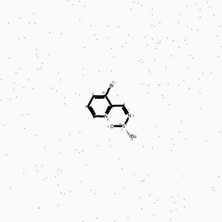 CC(C)(C)[S@+]([O-])/N=C\c1ncccc1Br